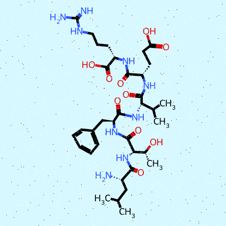 CC(C)C[C@H](N)C(=O)N[C@H](C(=O)N[C@@H](Cc1ccccc1)C(=O)N[C@H](C(=O)N[C@@H](CCC(=O)O)C(=O)N[C@@H](CCCNC(=N)N)C(=O)O)C(C)C)[C@@H](C)O